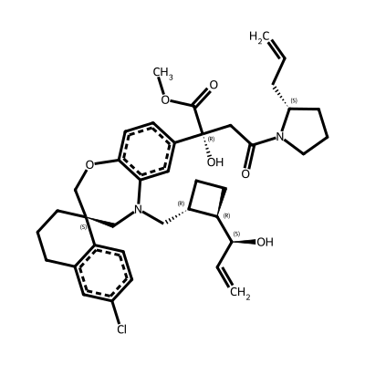 C=CC[C@@H]1CCCN1C(=O)C[C@](O)(C(=O)OC)c1ccc2c(c1)N(C[C@@H]1CC[C@H]1[C@@H](O)C=C)C[C@@]1(CCCc3cc(Cl)ccc31)CO2